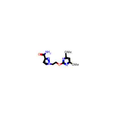 COc1cc(OC)nc(OCCn2c[c]c(C(N)=O)n2)n1